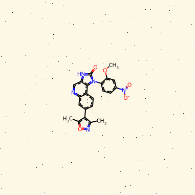 COc1cc([N+](=O)[O-])ccc1-n1c(=O)[nH]c2cnc3cc(-c4c(C)noc4C)ccc3c21